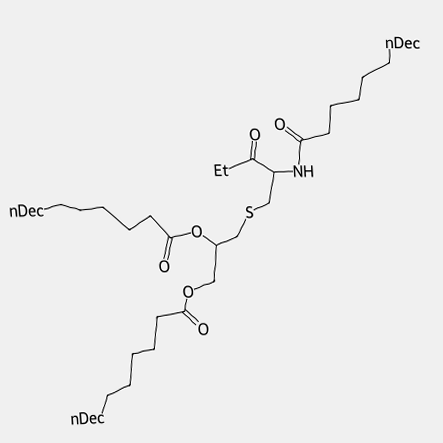 CCCCCCCCCCCCCCCC(=O)NC(CSCC(COC(=O)CCCCCCCCCCCCCCC)OC(=O)CCCCCCCCCCCCCCC)C(=O)CC